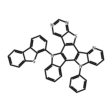 c1ccc(-n2c3cccnc3c3c4sc5ncncc5c4c4c(c5ccccc5n4-c4cccc5c4sc4ccccc45)c32)cc1